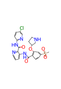 CS(=O)(=O)c1ccc(C(=O)Nc2cccnc2C(=O)Nc2ccc(Cl)cn2)c(OC2CCNC2)c1